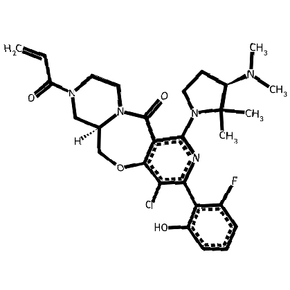 C=CC(=O)N1CCN2C(=O)c3c(N4CC[C@@H](N(C)C)C4(C)C)nc(-c4c(O)cccc4F)c(Cl)c3OC[C@H]2C1